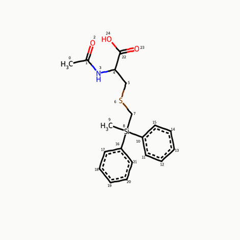 CC(=O)NC(CSC[Si](C)(c1ccccc1)c1ccccc1)C(=O)O